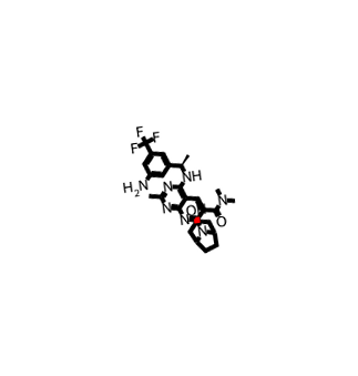 Cc1nc(N[C@H](C)c2cc(N)cc(C(F)(F)F)c2)c2cc(C(=O)N(C)C)c(N3C4CCC3CC(O)C4)nc2n1